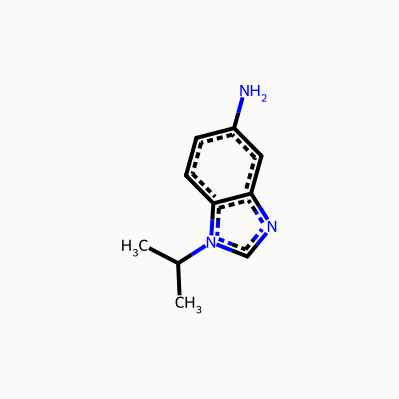 CC(C)n1cnc2cc(N)ccc21